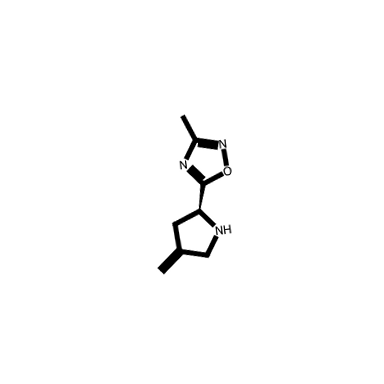 C=C1CN[C@H](c2nc(C)no2)C1